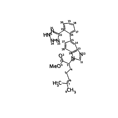 COC(=O)C(CCC=C(C)C)n1cnc2cc(-c3ccccc3-c3nn[nH]n3)ccc21